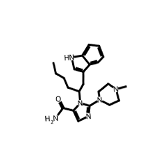 CCCCC(Cc1c[nH]c2ccccc12)n1c(C(N)=O)cnc1N1CCN(C)CC1